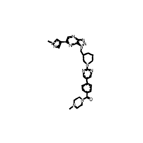 CN1CCN(C(=O)c2ccc(-c3cnc(N4CCCC(Cn5nnc6ncc(-c7cnn(C)c7)nc65)C4)nc3)cc2)CC1